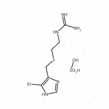 CCc1[nH]cnc1CSCCNC(=N)N.O=S(=O)(O)O